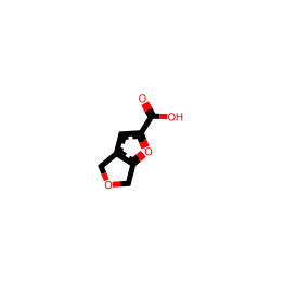 O=C(O)c1cc2c(o1)COC2